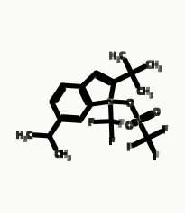 CC(C)c1ccc2c(c1)S(OS(=O)(=O)C(F)(F)F)(C(F)(F)F)C(C(C)(C)C)=C2